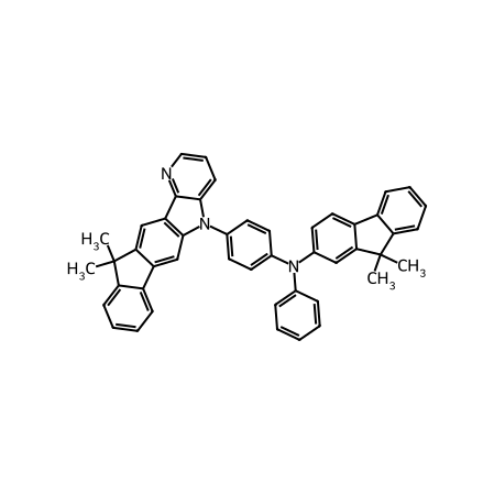 CC1(C)c2ccccc2-c2ccc(N(c3ccccc3)c3ccc(-n4c5cc6c(cc5c5ncccc54)C(C)(C)c4ccccc4-6)cc3)cc21